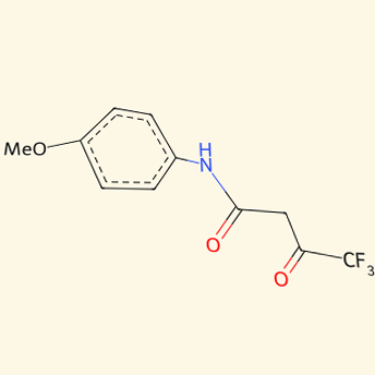 COc1ccc(NC(=O)CC(=O)C(F)(F)F)cc1